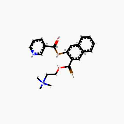 C[N+](C)(C)CCOC(=S)c1cc2ccccc2cc1SC(=O)c1cccnc1